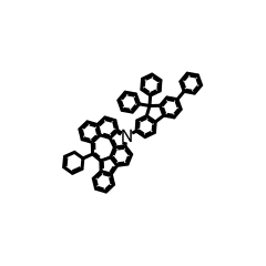 C1=CCC(c2c3c4ccccc4c4ccc5c(c4-3)c3c4c(cccc24)ccc3n5-c2ccc3c(c2)C(c2ccccc2)(c2ccccc2)c2cc(-c4ccccc4)ccc2-3)C=C1